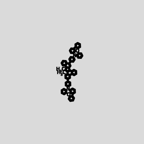 CC1(C)c2c(cc(-c3ccc(N(c4ccccc4)c4cccc5c4oc4ccccc45)cc3)c3ccccc23)-c2c1c1ccc(-c3ccc(N(c4ccccc4)c4cccc5c4oc4ccccc45)cc3)cc1c1ccccc21